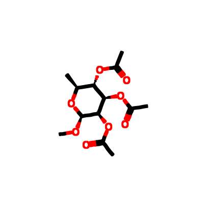 CO[C@H]1O[C@@H](C)[C@H](OC(C)=O)[C@@H](OC(C)=O)[C@H]1OC(C)=O